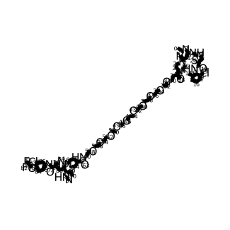 Cc1nc(Nc2ncc(C(=O)Nc3c(C)cccc3Cl)s2)cc(N2CCN(C(=O)CCOCCOCCOCCOCCOCCOCCOCCOCCOCCOCCNC(=O)C3CCN(c4ncc(C(=O)Nc5ccc(OC(F)(F)Cl)cc5)cc4-c4ccn[nH]4)CC3)CC2)n1